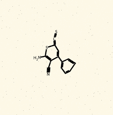 N#CC1=C(N)SC(=C=S)C=C1c1ccccc1